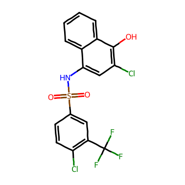 O=S(=O)(Nc1cc(Cl)c(O)c2ccccc12)c1ccc(Cl)c(C(F)(F)F)c1